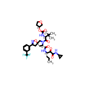 CCC[C@H](NC(=O)[C@@H]1C[C@@]2(CC(c3cccc(C(F)(F)F)c3)=NO2)CN1C(=O)[C@@H](NC(=O)O[C@H]1CCOC1)C(C)(C)C)C(=O)C(=O)NC1CC1